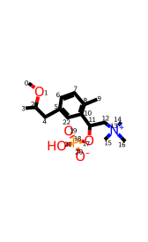 COC(C)Cc1ccc(C)c(C(C[N+](C)(C)C)OP(=O)([O-])O)c1